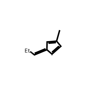 CCC=C1[C]=CC(C)=C1